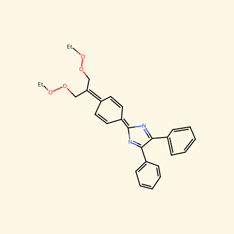 CCOOCC(COOCC)=c1ccc(=C2N=C(c3ccccc3)C(c3ccccc3)=N2)cc1